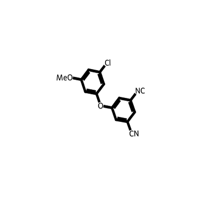 [C-]#[N+]c1cc(C#N)cc(Oc2cc(Cl)cc(OC)c2)c1